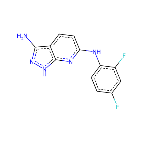 Nc1n[nH]c2nc(Nc3ccc(F)cc3F)ccc12